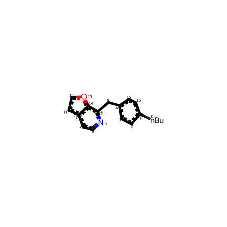 CCCCc1ccc(Cc2nccc3ccoc23)cc1